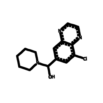 OC(c1cc(Cl)c2nccnc2c1)N1CCCCC1